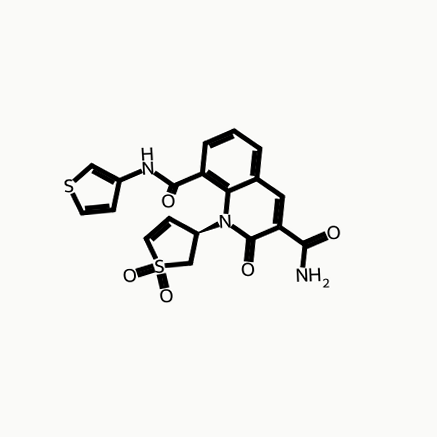 NC(=O)c1cc2cccc(C(=O)Nc3ccsc3)c2n([C@@H]2C=CS(=O)(=O)C2)c1=O